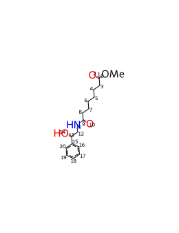 COC(=O)CCCCCCC(=O)NCC(O)c1ccccc1